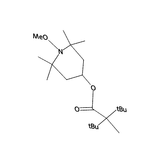 CON1C(C)(C)CC(OC(=O)C(C)(C(C)(C)C)C(C)(C)C)CC1(C)C